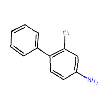 CCc1cc(N)ccc1-c1ccccc1